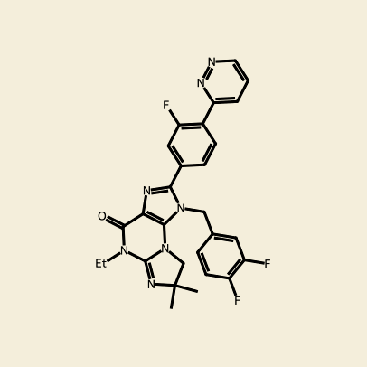 CCN1C(=O)c2nc(-c3ccc(-c4cccnn4)c(F)c3)n(Cc3ccc(F)c(F)c3)c2N2CC(C)(C)N=C12